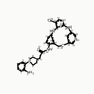 Nc1ccccc1N1CCC(CC(=O)Nc2ccc3cc2CCc2cncc(c2)Nc2ncc(Cl)c(n2)N3)CC1